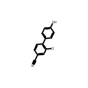 N#Cc1ccc(-c2ccc(O)cc2)c(Cl)c1